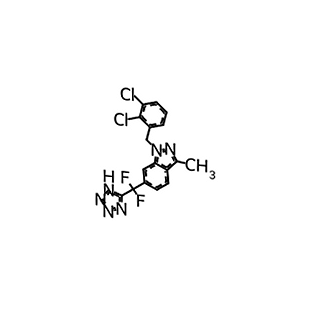 Cc1nn(Cc2cccc(Cl)c2Cl)c2cc(C(F)(F)c3nnn[nH]3)ccc12